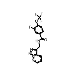 O=C(NCc1nnn2ncccc12)c1ccc(OC(F)(F)F)c(F)c1